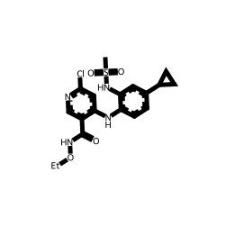 CCONC(=O)c1cnc(Cl)cc1Nc1ccc(C2CC2)cc1NS(C)(=O)=O